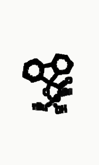 CCCCC(=O)C1(OP(=O)(O)CCCC)c2ccccc2-c2ccccc21